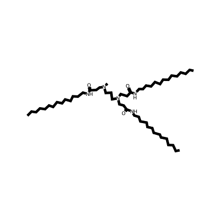 CCCCCCCCCCCCCCNC(=O)CCN(C)CCCN(CCC(=O)NCCCCCCCCCCCCCC)CCC(=O)NCCCCCCCCCCCCCC